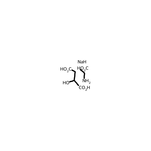 NCC(=O)O.O=C(O)CC(O)C(=O)O.[NaH]